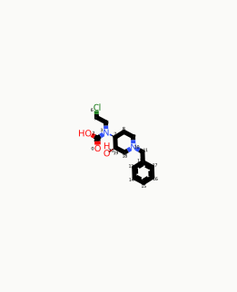 O=C(O)N(CCCl)[C@@H]1CCN(Cc2ccccc2)C[C@@H]1O